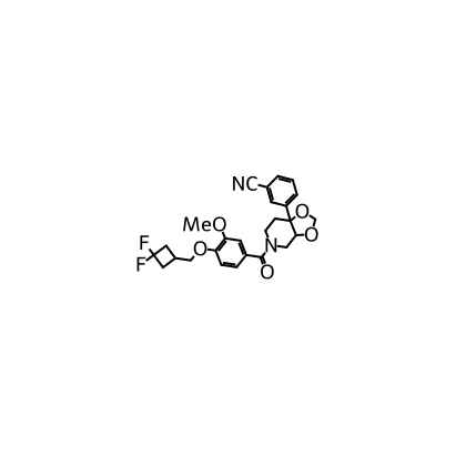 COc1cc(C(=O)N2CCC3(c4cccc(C#N)c4)OCOC3C2)ccc1OCC1CC(F)(F)C1